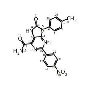 Cc1ccc(-n2c(=O)[nH]c3c(C(N)=O)nc(-c4ccc([N+](=O)[O-])cc4)nc32)cc1